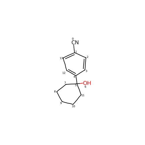 N#Cc1ccc(C2(O)CCCCC2)cc1